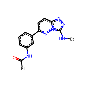 CCNc1nnc2ccc(-c3cccc(NC(=O)CC)c3)nn12